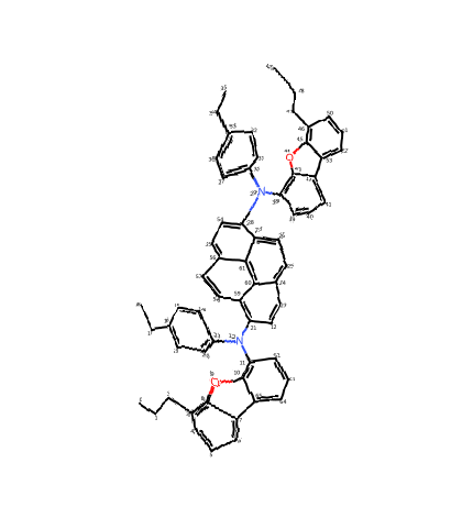 CCCc1cccc2c1oc1c(N(c3ccc(CC)cc3)c3ccc4ccc5c(N(c6ccc(CC)cc6)c6cccc7c6oc6c(CCC)cccc67)ccc6ccc3c4c65)cccc12